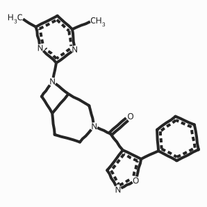 Cc1cc(C)nc(N2CC3CCN(C(=O)c4cnoc4-c4ccccc4)CC32)n1